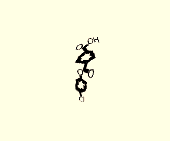 O=C(O)c1ccc(C(=O)Oc2ccc(Cl)cc2)cc1